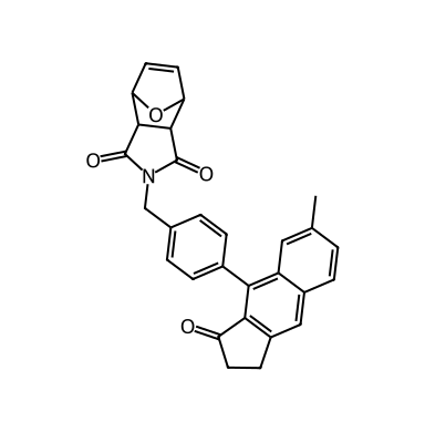 Cc1ccc2cc3c(c(-c4ccc(CN5C(=O)C6C7C=CC(O7)C6C5=O)cc4)c2c1)C(=O)CC3